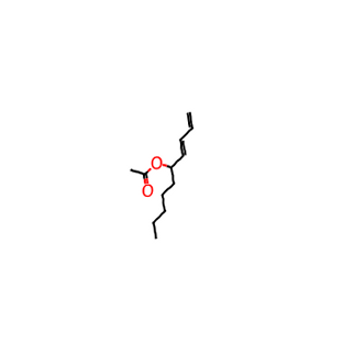 C=CC=CC(CCCCC)OC(C)=O